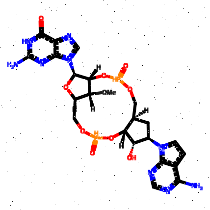 CO[C@H]1[C@H]2O[PH](=O)OC[C@H]3C[C@@H](n4ccc5c(N)ncnc54)[C@H](O)[C@@H]3O[PH](=O)OC[C@H]1O[C@H]2n1cnc2c(=O)[nH]c(N)nc21